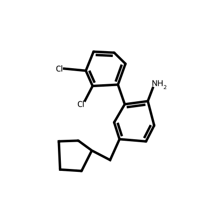 Nc1ccc(CC2CCCC2)cc1-c1cccc(Cl)c1Cl